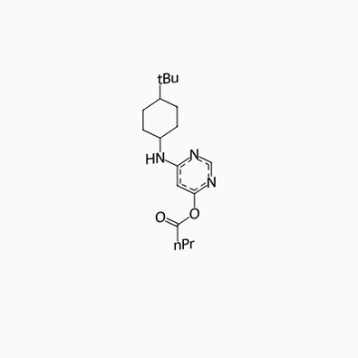 CCCC(=O)Oc1cc(NC2CCC(C(C)(C)C)CC2)ncn1